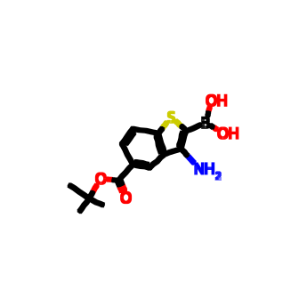 CC(C)(C)OC(=O)c1ccc2sc(B(O)O)c(N)c2c1